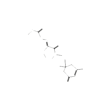 CC1=CC(=O)CC(C)(C)C1.CNC(=O)ON=C(SC)C(=O)N(C)C.Cl